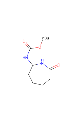 CCCCOC(=O)NC1CCCCC(=O)N1